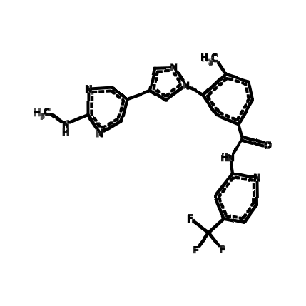 CNc1ncc(-c2cnn(-c3cc(C(=O)Nc4cc(C(F)(F)F)ccn4)ccc3C)c2)cn1